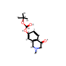 CN1CC(=O)c2ccc(OC(=O)OC(C)(C)C)cc2C1